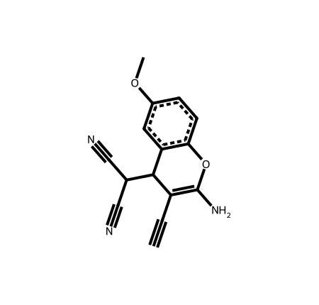 C#CC1=C(N)Oc2ccc(OC)cc2C1C(C#N)C#N